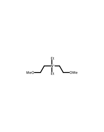 CC[N+](CC)(CCOC)CCOC